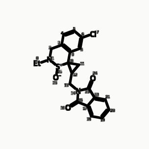 CCN1Cc2ccc(Cl)cc2C2(CC2CN2C(=O)c3ccccc3C2=O)[S+]1[O-]